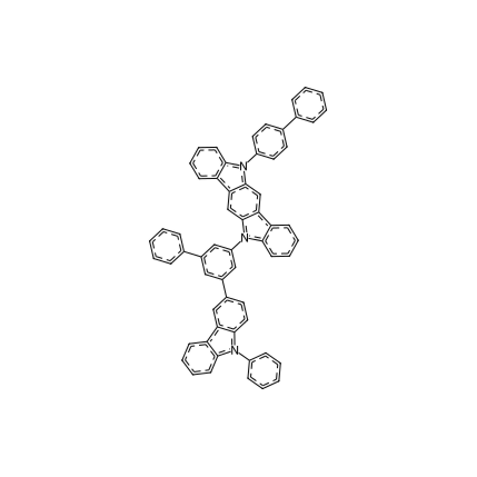 c1ccc(-c2ccc(-n3c4ccccc4c4cc5c(cc43)c3ccccc3n5-c3cc(-c4ccccc4)cc(-c4ccc5c(c4)c4ccccc4n5-c4ccccc4)c3)cc2)cc1